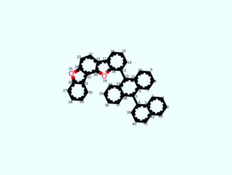 c1ccc2c(-c3c4ccccc4c(-c4cccc5c4oc4c5ccc5oc6ccccc6c54)c4ccccc34)cccc2c1